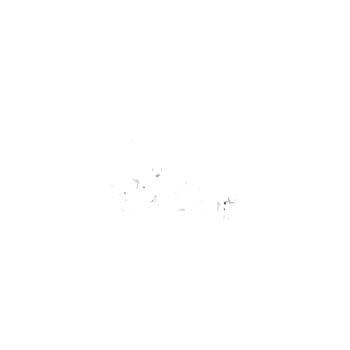 CCOC1CCC(=O)N1S(=O)(=O)c1ccc([N+](=O)[O-])cc1